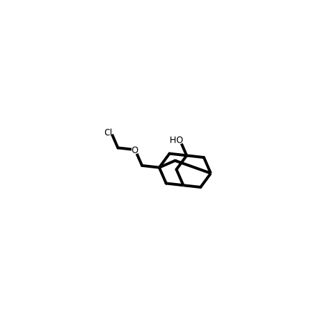 OC12CC3CC(C1)CC(COCCl)(C3)C2